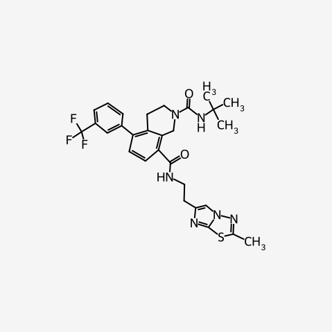 Cc1nn2cc(CCNC(=O)c3ccc(-c4cccc(C(F)(F)F)c4)c4c3CN(C(=O)NC(C)(C)C)CC4)nc2s1